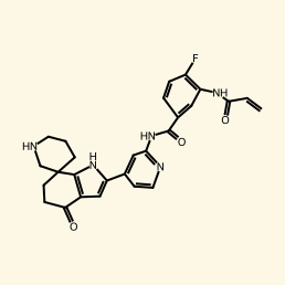 C=CC(=O)Nc1cc(C(=O)Nc2cc(-c3cc4c([nH]3)C3(CCCNC3)CCC4=O)ccn2)ccc1F